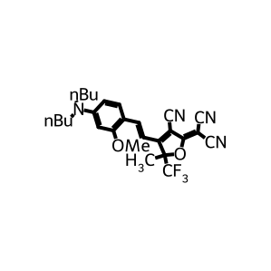 CCCCN(CCCC)c1ccc(C=CC2=C(C#N)C(=C(C#N)C#N)OC2(C)C(F)(F)F)c(OC)c1